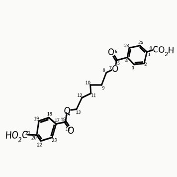 O=C(O)c1ccc(C(=O)OCCCCCCOC(=O)c2ccc(C(=O)O)cc2)cc1